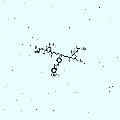 CCCCC(CC)CNc1nc(N)nc(NCCCN(CCCNc2nc(N)nc(NCC(CC)CCCC)n2)c2ccc(/N=N/c3ccc(OC)cc3)cc2)n1